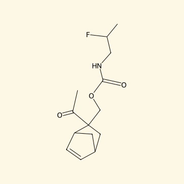 CC(=O)C1(COC(=O)NCC(C)F)CC2C=CC1C2